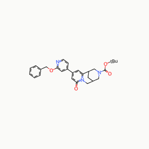 CC(C)(C)OC(=O)N1CC2CC(C1)c1cc(-c3ccnc(OCc4ccccc4)c3)cc(=O)n1C2